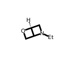 CCN1C[C@@H]2OCC21